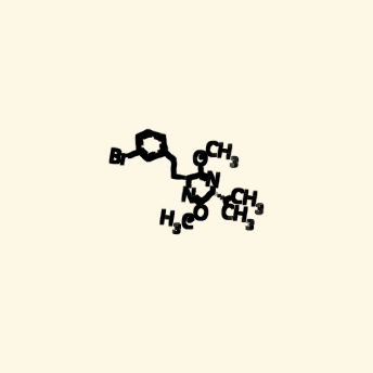 COC1=N[C@H](C(C)C)C(OC)=N[C@H]1CCc1cccc(Br)c1